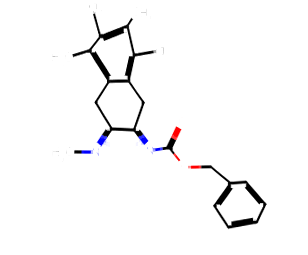 C/N=C1\Cc2c(C)c(C)c(C)c(C)c2C\C1=N/C(=O)OCc1ccccc1